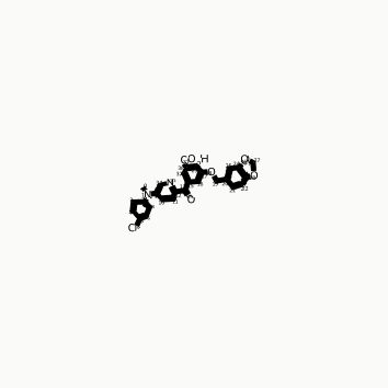 CN(c1ccc(Cl)cc1)c1ccc(C(=O)c2cc(OCc3ccc4c(c3)OCO4)cc(C(=O)O)c2)nc1